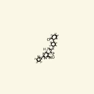 NN(Cc1ccc(-c2ccccc2Cl)cc1)C(=O)c1cnc(-n2cccn2)nc1N=O